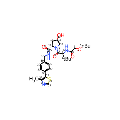 CCCCOCC(=O)N[C@H](C(=O)N1C[C@H](O)C[C@H]1C(=O)NCc1ccc(-c2scnc2C)cc1)C(C)(C)C